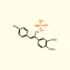 COc1ccc(/C(C#N)=C/c2cc[c]([Na])cc2)cc1OC.O=P(O)(O)O